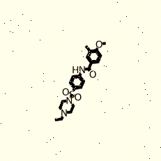 CCN1CCN(S(=O)(=O)c2ccc(NC(=O)c3ccc(OC)c(C)c3)cc2)CC1